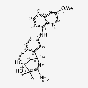 COc1cnc2c(Nc3ccc(F)c([C@]4(C)CS(O)(O)C(C)(C)C(N)=N4)c3)ncnc2c1